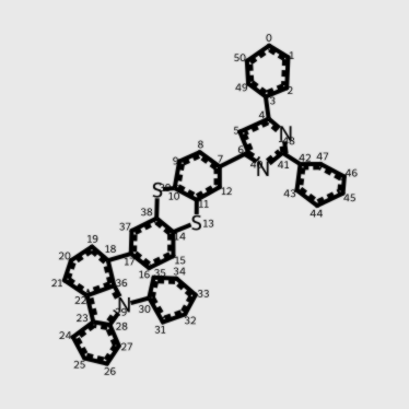 c1ccc(-c2cc(-c3ccc4c(c3)Sc3ccc(-c5cccc6c7ccccc7n(-c7ccccc7)c56)cc3S4)nc(-c3ccccc3)n2)cc1